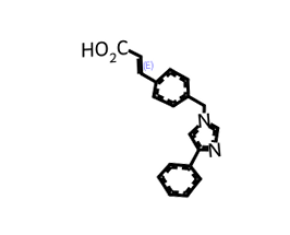 O=C(O)/C=C/c1ccc(Cn2cnc(-c3ccccc3)c2)cc1